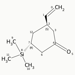 C=C[C@H]1CC(=O)C[C@H]([Si](C)(C)C)C1